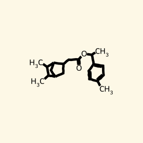 Cc1ccc(C(C)OC(=O)CC2CC3CC2C(C)C3C)cc1